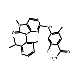 Cc1cc(C(N)=O)c(F)cc1Nc1ncc2c(n1)n(-c1c(C)ccnc1C(C)C)c(=O)n2C